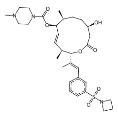 C/C(=C\c1cccc(S(=O)(=O)N2CCC2)c1)[C@H]1OC(=O)C[C@H](O)CC[C@H](C)[C@H](OC(=O)N2CCN(C)CC2)/C=C/[C@@H]1C